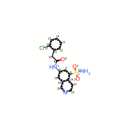 NS(=O)(=O)c1cc(NC(=O)Cc2ccccc2Cl)cc2cnccc12